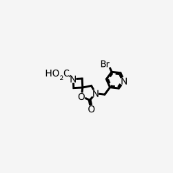 O=C(O)N1CC2(C1)CN(Cc1cncc(Br)c1)C(=O)O2